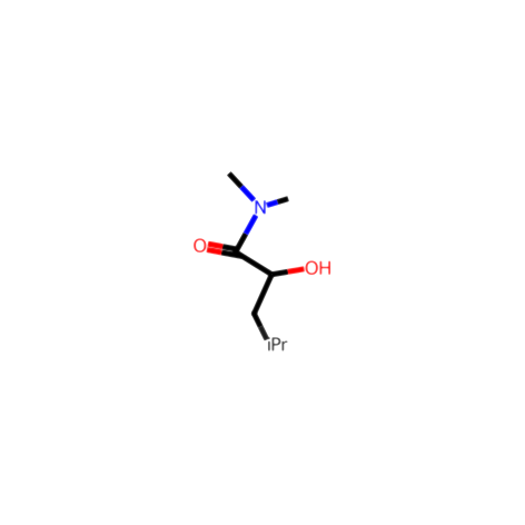 CC(C)CC(O)C(=O)N(C)C